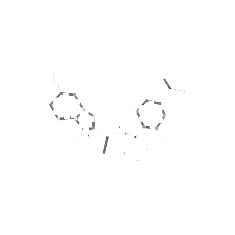 C=C(C)c1ccc(C2(NC(=C)c3cc4c(C)c(CC)ccc4n3C)CCC2)c(C)c1